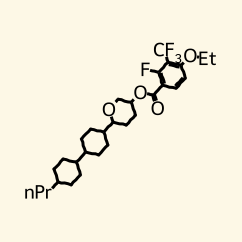 CCCC1CCC(C2CCC(C3CCC(OC(=O)c4ccc(OCC)c(C(F)(F)F)c4F)CO3)CC2)CC1